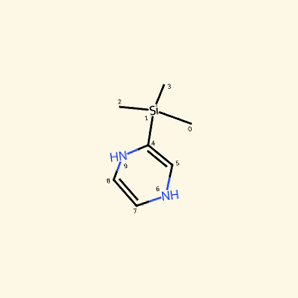 C[Si](C)(C)C1=CNC=CN1